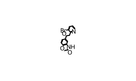 O=C1COc2ccc(C(=O)Cc3ncccc3Br)cc2N1